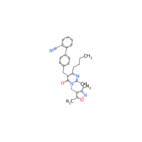 CCCCc1nc(C)n(Cc2c(C)noc2C)c(=O)c1Cc1ccc(-c2ccccc2C#N)cc1